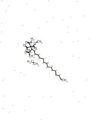 C=C.CCCCCCCCCCCCCCCC(C(C)=O)C(C(C)=O)(C(C)=O)C(=O)OC